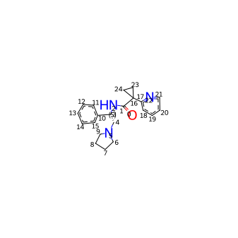 O=C(N[C@H](CN1CCCC1)c1ccccc1)C1(c2ccccn2)CC1